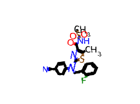 Cc1sc(N(Cc2ccccc2F)c2ccc(C#N)cc2)nc1C(=O)NS(C)(=O)=O